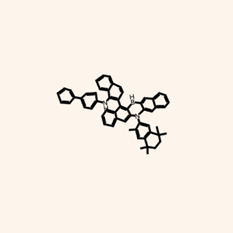 Cc1cc2c(cc1N1c3cc4ccccc4cc3Bc3c1cc1ccccc1c3-c1ccc3ccccc3c1Nc1ccc(-c3ccccc3)cc1)C(C)(C)CCC2(C)C